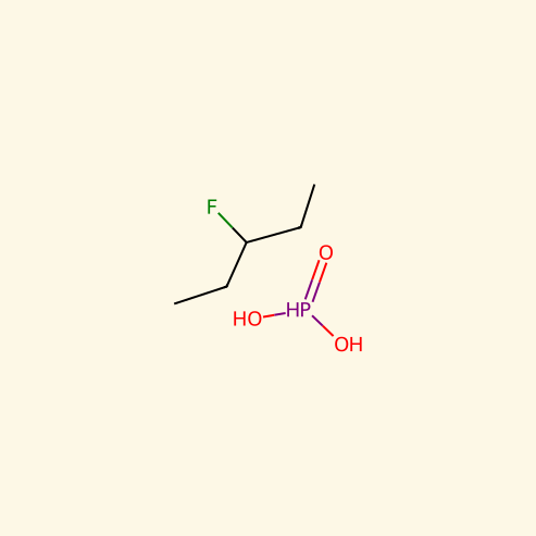 CCC(F)CC.O=[PH](O)O